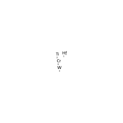 [Cr].[Hf].[Ti].[W]